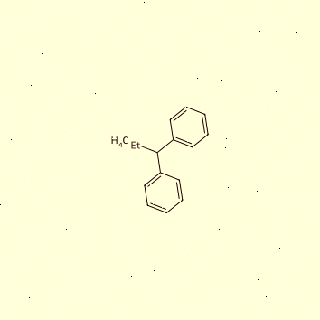 C.CCC(c1ccccc1)c1ccccc1